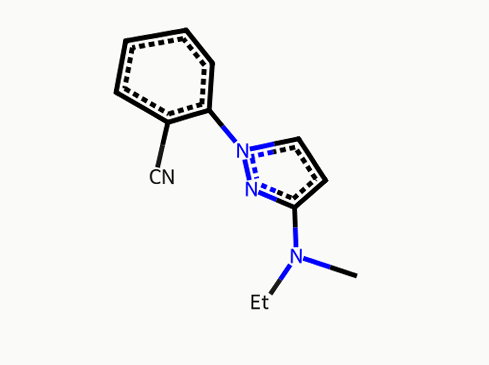 CCN(C)c1ccn(-c2ccccc2C#N)n1